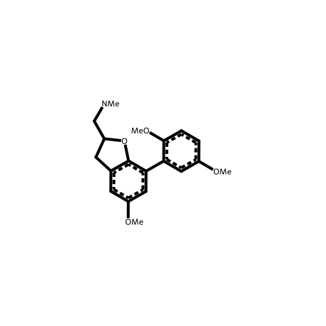 CNCC1Cc2cc(OC)cc(-c3cc(OC)ccc3OC)c2O1